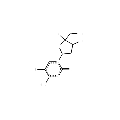 CCC1(CO)OC(n2cc(F)c(N)nc2=O)CC1O